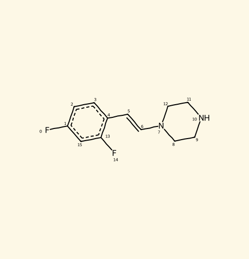 Fc1ccc(C=CN2CCNCC2)c(F)c1